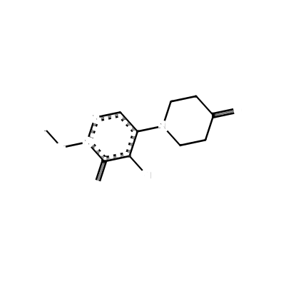 O=C1CCN(c2cnn(PI)c(=O)c2Cl)CC1